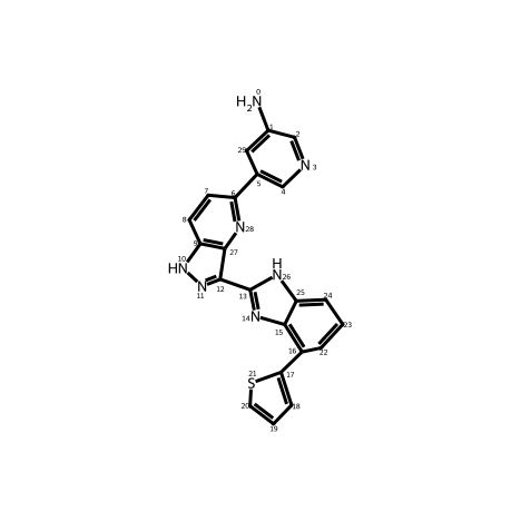 Nc1cncc(-c2ccc3[nH]nc(-c4nc5c(-c6cccs6)cccc5[nH]4)c3n2)c1